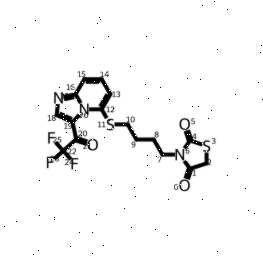 O=C1CSC(=O)N1CCCCSc1cccc2ncc(C(=O)C(F)(F)F)n12